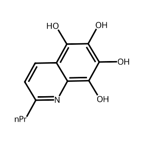 CCCc1ccc2c(O)c(O)c(O)c(O)c2n1